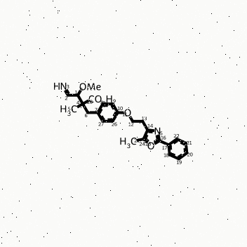 COC(C=N)C(C)(Cc1ccc(OCCc2nc(-c3ccccc3)oc2C)cc1)C(=O)O